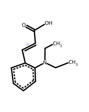 CCN(CC)c1ccccc1/C=C/C(=O)O